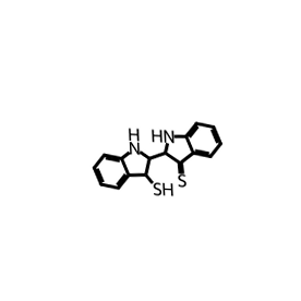 S=C1c2ccccc2NC1C1Nc2ccccc2C1S